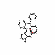 c1ccc(C(c2ccccc2)c2ccccc2-c2cncc3[nH]ccc23)cc1